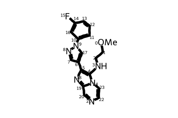 COCCNc1c(-c2cnn(-c3cccc(F)c3)c2)nc2cnccn12